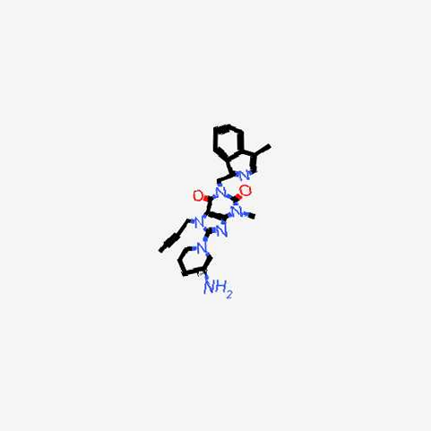 CC#CCn1c(N2CCC[C@H](N)C2)nc2c1c(=O)n(Cc1ncc(C)c3ccccc13)c(=O)n2C